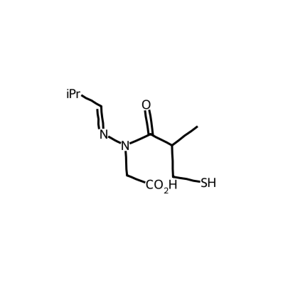 CC(C)C=NN(CC(=O)O)C(=O)C(C)CS